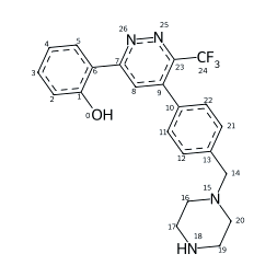 Oc1ccccc1-c1cc(-c2ccc(CN3CCNCC3)cc2)c(C(F)(F)F)nn1